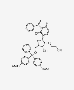 COc1ccc(C(OC[C@H]2O[C@@H](n3ccc(=O)n(C(=O)c4ccccc4)c3=O)[C@H](OCCC#N)[C@@H]2O)(c2ccccc2)c2ccc(OC)cc2)cc1